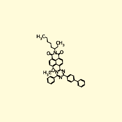 CCCCCC(CC)N1C(=O)c2ccc(OC)c3c(-c4nc(-c5ccccc5)nc(-c5ccc(-c6ccccc6)cc5)n4)ccc(c23)C1=O